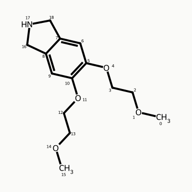 COCCOc1cc2c(cc1OCCOC)CNC2